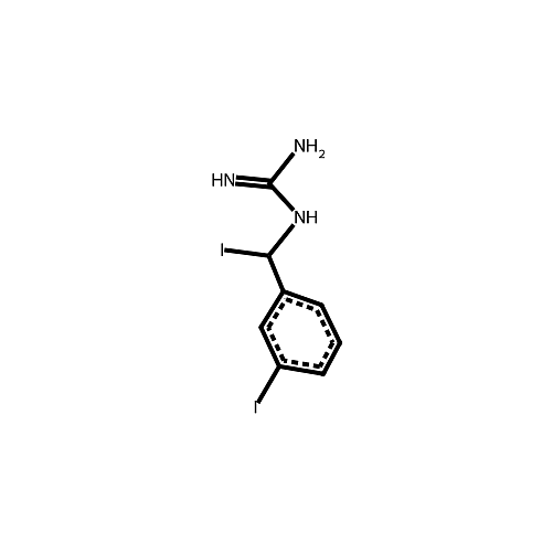 N=C(N)NC(I)c1cccc(I)c1